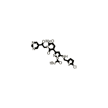 COc1ccc(-c2cc(NCc3ccc(Cl)s3)n(C(=O)C(C)(C)C)n2)c(=O)n1CC(=O)c1cncnc1